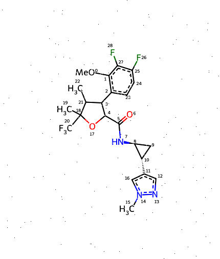 COc1c(C2C(C(=O)N[C@H]3C[C@@H]3c3cnn(C)c3)OC(C)(C(F)(F)F)C2C)ccc(F)c1F